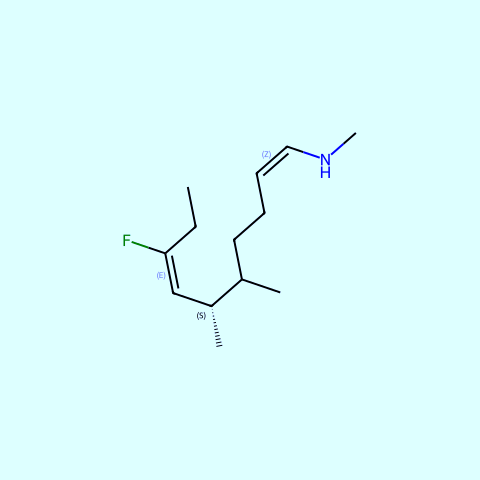 CC/C(F)=C\[C@@H](C)C(C)CC/C=C\NC